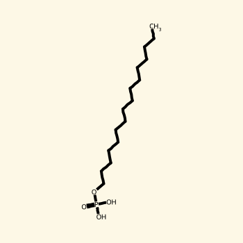 CCCCCCCCCCCCCCCCOP(=O)(O)O